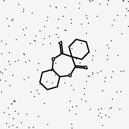 O=C1OC2CCCCC2OC(=O)C12CCCCC2